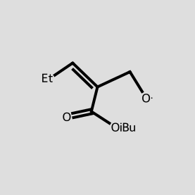 CC/C=C(/C[O])C(=O)OCC(C)C